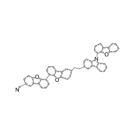 N#Cc1ccc2oc3c(-c4cccc5c4oc4ccc(CCc6ccc7c(c6)c6ccccc6n7-c6cccc7c6oc6ccccc67)cc45)cccc3c2c1